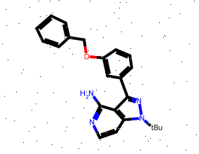 CC(C)(C)n1nc(-c2cccc(OCc3ccccc3)c2)c2c(N)nccc21